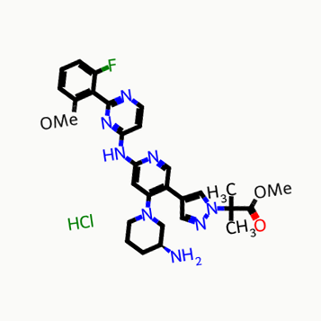 COC(=O)C(C)(C)n1cc(-c2cnc(Nc3ccnc(-c4c(F)cccc4OC)n3)cc2N2CCC[C@H](N)C2)cn1.Cl